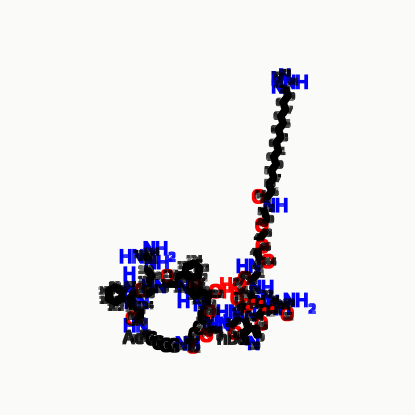 CCCC[C@H](NC(=O)[C@H](Cc1ccncc1)NC(=O)[C@H](Cc1c[nH]cn1)NC(=O)[C@H](CCC(N)=O)NC(=O)[C@H](CO)NC(=O)CNC(=O)COCCOCCNC(=O)CCCCCCCCCCCCCCCc1nnn[nH]1)C(=O)N[C@H]1CCC(=O)NCCCC[C@@H](C(C)=O)NC(=O)[C@H](Cc2c[nH]c3ccccc23)NC(=O)[C@H](CCCNC(=N)N)NC(=O)[C@@H](Cc2ccccc2)NC(=O)[C@@H]2C[C@@H](O)CN2C1=O